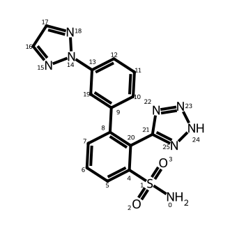 NS(=O)(=O)c1cccc(-c2cccc(-n3nccn3)c2)c1-c1nn[nH]n1